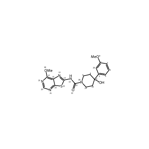 COc1cccc(C2(O)CCN(C(=O)Nc3nc4c(OC)ncnc4s3)CC2)c1